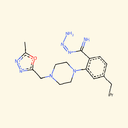 Cc1nnc(CN2CCN(c3cc(CC(C)C)ccc3C(=N)/N=N\N)CC2)o1